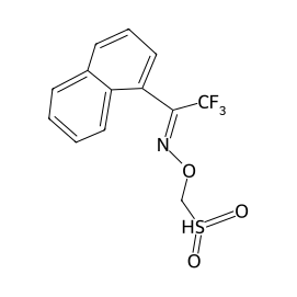 O=[SH](=O)CON=C(c1cccc2ccccc12)C(F)(F)F